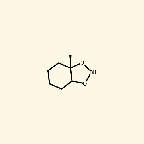 C[C@]12CCCCC1OBO2